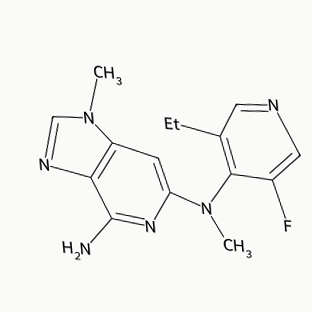 CCc1cncc(F)c1N(C)c1cc2c(ncn2C)c(N)n1